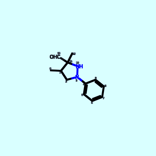 CC1CN(c2ccccc2)NC1(C)C=O